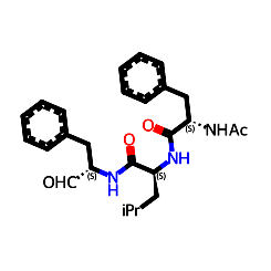 CC(=O)N[C@@H](Cc1ccccc1)C(=O)N[C@@H](CC(C)C)C(=O)N[C@H](C=O)Cc1ccccc1